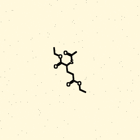 CCOC(=O)CCC(SC(C)=O)C(=O)OCC